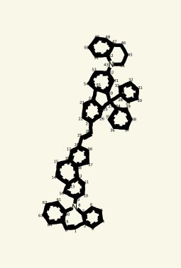 C1=Cc2ccccc2N(c2ccc3c(ccc4cc(/C=C/c5ccc6c(c5)C(c5ccccc5)(c5ccccc5)c5cc(N7CCCc8ccccc87)ccc5-6)ccc43)c2)c2ccccc21